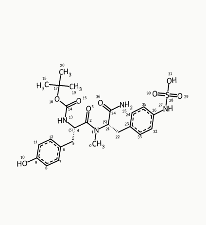 CN(C(=O)[C@H](Cc1ccc(O)cc1)NC(=O)OC(C)(C)C)[C@@H](Cc1ccc(NS(=O)(=O)O)cc1)C(N)=O